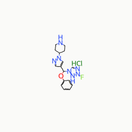 Cl.FN1N=CN(C(Oc2ccccc2)c2cnn(C3CCNCC3)c2)N1